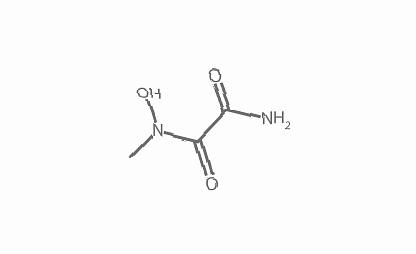 CN(O)C(=O)C(N)=O